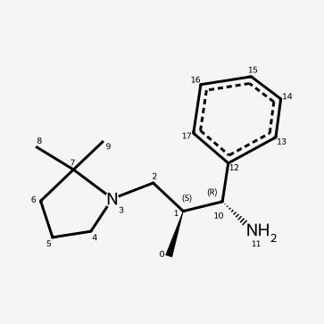 C[C@@H](CN1CCCC1(C)C)[C@@H](N)c1ccccc1